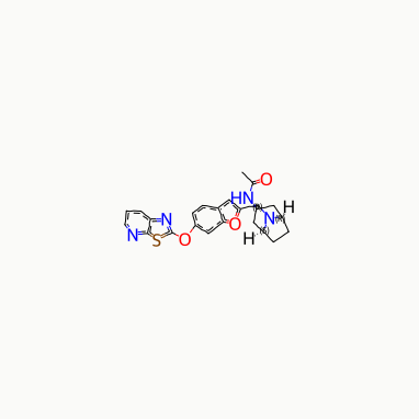 CC(=O)N[C@H]1C[C@H]2CC[C@@H](C1)N2Cc1cc2ccc(Oc3nc4cccnc4s3)cc2o1